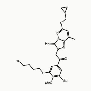 COc1c(OCCCCO)cc(C(=O)Cn2nc3c(C)cc(OCC4CC4)nn3c2=N)cc1C(C)(C)C